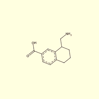 NCC1CCCc2ccc(C(=O)O)cc21